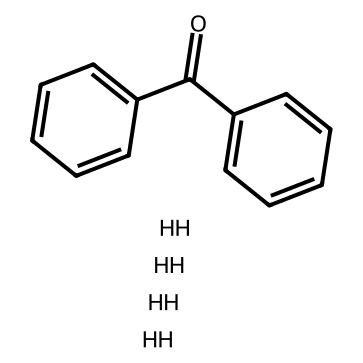 O=C(c1ccccc1)c1ccccc1.[HH].[HH].[HH].[HH]